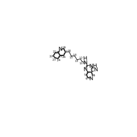 N#CNC(=Nc1ccncc1)NCCCCCCc1cnc2ccccc2c1